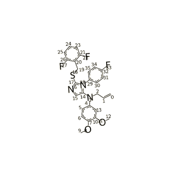 C=CCN(c1ccc(OC)c(OC)c1)c1cnc(SCc2c(F)cccc2F)n1-c1ccc(F)cc1